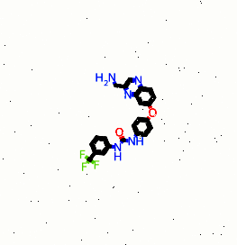 NCc1cnc2ccc(Oc3ccc(NC(=O)Nc4cccc(C(F)(F)F)c4)cc3)cc2n1